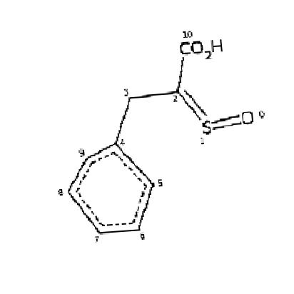 O=S=C(Cc1ccccc1)C(=O)O